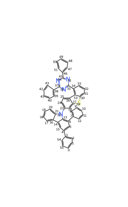 c1ccc(-c2cc(-c3ccccc3)c3c(c2)c2ccccc2n3-c2ccc3c(c2)sc2cccc(-c4nc(-c5ccccc5)nc(-c5ccccc5)n4)c23)cc1